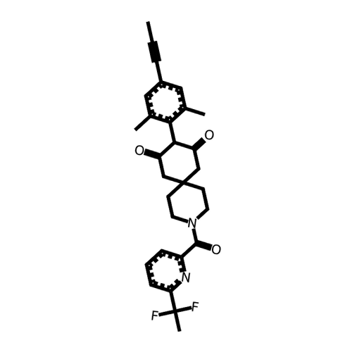 CC#Cc1cc(C)c(C2C(=O)CC3(CCN(C(=O)c4cccc(C(C)(F)F)n4)CC3)CC2=O)c(C)c1